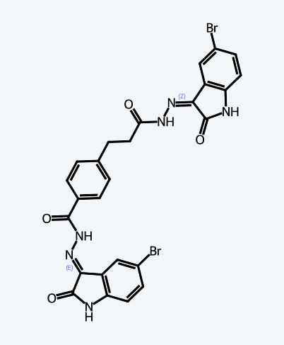 O=C(CCc1ccc(C(=O)N/N=C2/C(=O)Nc3ccc(Br)cc32)cc1)N/N=C1\C(=O)Nc2ccc(Br)cc21